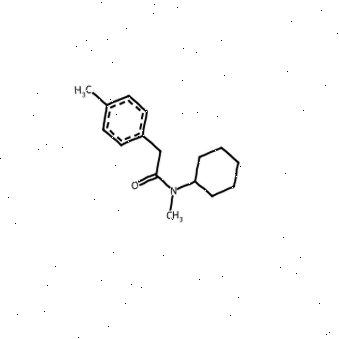 Cc1ccc(CC(=O)N(C)C2CCCCC2)cc1